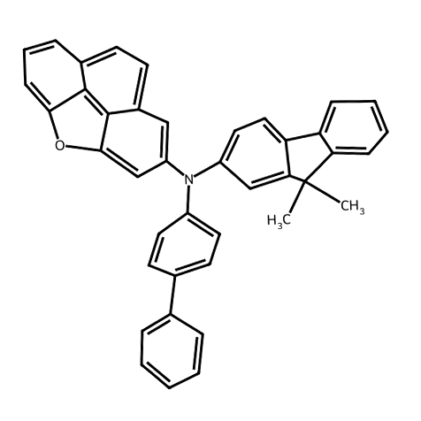 CC1(C)c2ccccc2-c2ccc(N(c3ccc(-c4ccccc4)cc3)c3cc4ccc5cccc6oc(c3)c4c56)cc21